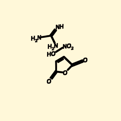 N=C(N)N.O=C1C=CC(=O)O1.O=[N+]([O-])O